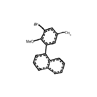 COc1c(Br)cc(C)cc1-c1cccc2ccccc12